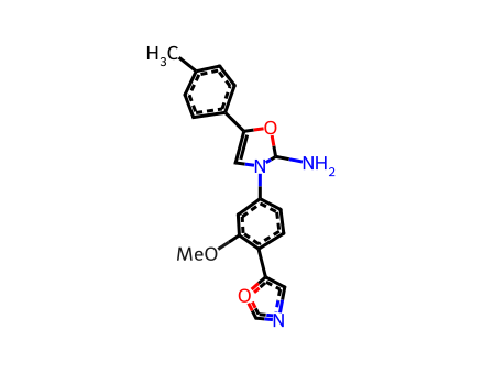 COc1cc(N2C=C(c3ccc(C)cc3)OC2N)ccc1-c1cnco1